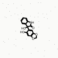 O=C1Nc2ccccc2C1(O)c1cc2c(cc1O)OCO2